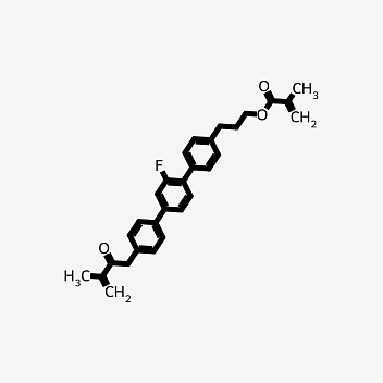 C=C(C)C(=O)Cc1ccc(-c2ccc(-c3ccc(CCCOC(=O)C(=C)C)cc3)c(F)c2)cc1